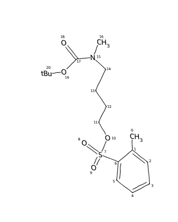 Cc1ccccc1S(=O)(=O)OCCCCN(C)C(=O)OC(C)(C)C